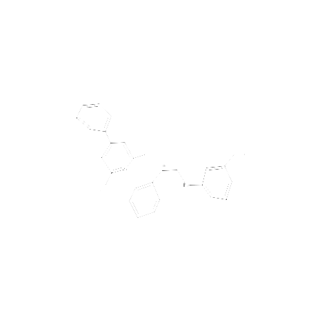 Cc1cc(-c2ccccc2)cc(C[C@H](CNc2cc(C(F)(F)F)cc(C(F)(F)F)c2)c2ccccc2)n1